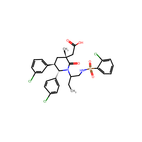 CCC(CNS(=O)(=O)c1ccccc1Cl)N1C(=O)[C@@](C)(CC(=O)O)C[C@H](c2cccc(Cl)c2)[C@H]1c1ccc(Cl)cc1